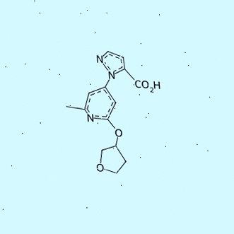 Cc1cc(-n2nccc2C(=O)O)cc(OC2CCOC2)n1